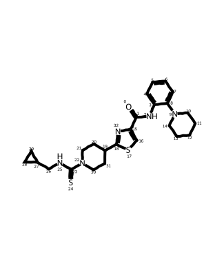 O=C(Nc1ccccc1N1CCCCC1)c1csc(C2CCN(C(=S)NCC3CC3)CC2)n1